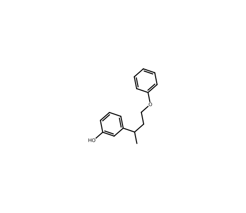 CC(CCOc1ccccc1)c1cccc(O)c1